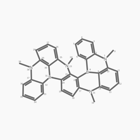 CN1c2ccccc2B2c3c1cccc3N(C)c1ccc3c(c12)N(C)c1cccc2c1B3c1ccccc1N2C